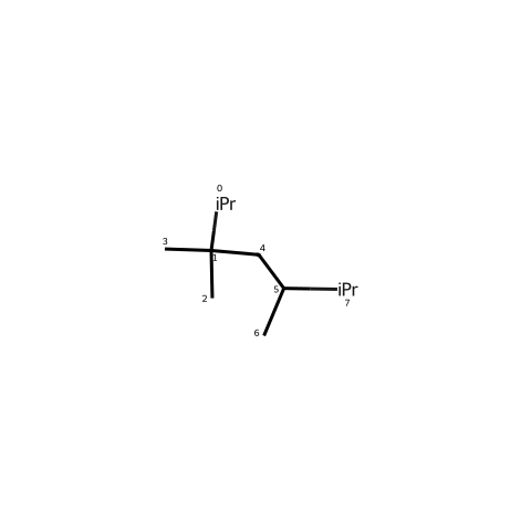 [CH2]C(C)C(C)(C)CC(C)C(C)C